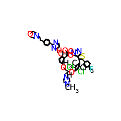 Cc1c(Cl)c2c(Cl)c(C)c1-c1c(-c3ccc(F)cc3)sc3ncnc(c13)O[C@@H](C(=O)O)c1cc(ccc1OCc1ccnc(-c3ccc(CCN4CCOCC4)cc3)n1)OC[C@@H](CN1CCN(C)CC1)O2